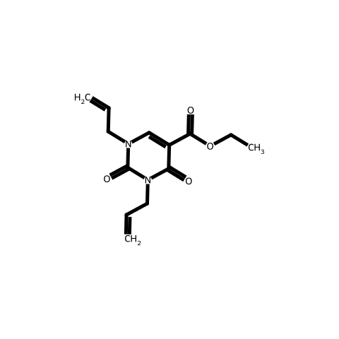 C=CCn1cc(C(=O)OCC)c(=O)n(CC=C)c1=O